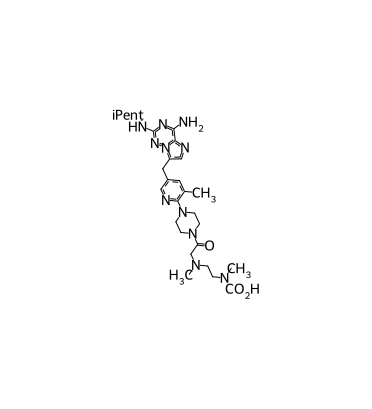 CCC[C@H](C)Nc1nc(N)c2ncc(Cc3cnc(N4CCN(C(=O)CN(C)CCN(C)C(=O)O)CC4)c(C)c3)n2n1